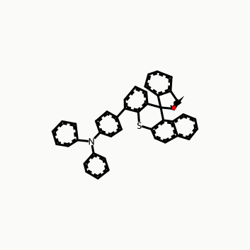 c1ccc(N(c2ccccc2)c2ccc(-c3cccc4c3Sc3ccc5ccccc5c3C43c4ccccc4-c4ccccc43)cc2)cc1